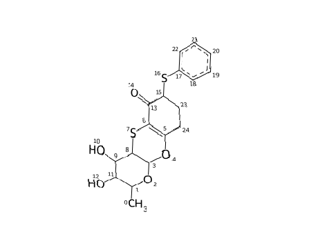 CC1OC2OC3=C(SC2C(O)C1O)C(=O)C(Sc1ccccc1)CC3